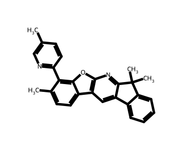 Cc1ccc(-c2c(C)ccc3c2oc2nc4c(cc23)-c2ccccc2C4(C)C)nc1